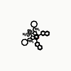 C[SiH](C)[Zr]([Cl])([Cl])([CH]1C(CC2(C)CCCCCCC2)=Cc2c(-c3ccc4ccccc4c3)cccc21)[CH]1C(CC2(C)CCCCCCC2)=Cc2c(-c3ccc4ccccc4c3)cccc21